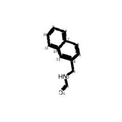 O=[C]NCc1ccc2ccccc2c1